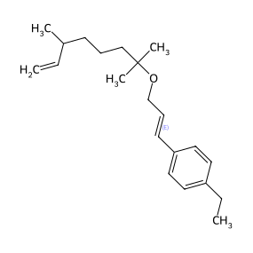 C=CC(C)CCCC(C)(C)OC/C=C/c1ccc(CC)cc1